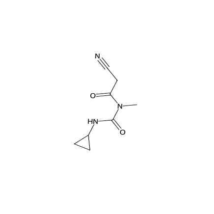 CN(C(=O)CC#N)C(=O)NC1CC1